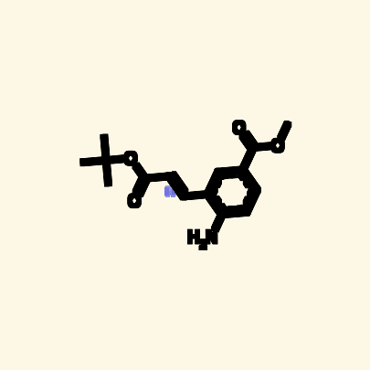 COC(=O)c1ccc(N)c(/C=C/C(=O)OC(C)(C)C)c1